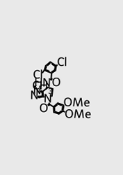 COc1ccc(C(=O)N2CCC(NC(=O)c3cc(Cl)ccc3Cl)c3c2cnn3C)cc1OC